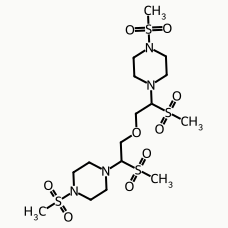 CS(=O)(=O)C(COCC(N1CCN(S(C)(=O)=O)CC1)S(C)(=O)=O)N1CCN(S(C)(=O)=O)CC1